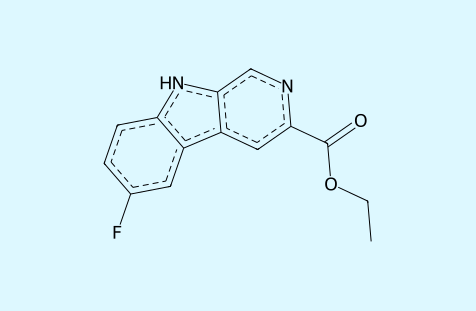 CCOC(=O)c1cc2c(cn1)[nH]c1ccc(F)cc12